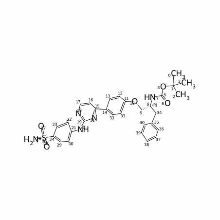 CC(C)(C)OC(=O)N[C@@H](COc1ccc(-c2ccnc(Nc3ccc(S(N)(=O)=O)cc3)n2)cc1)Cc1ccccc1